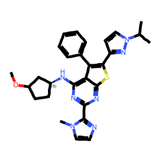 COC1CC[C@H](Nc2nc(-c3nccn3C)nc3sc(-c4ccn(C(C)C)n4)c(-c4ccccc4)c23)C1